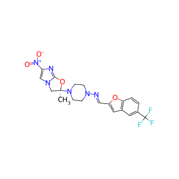 C[C@]1(N2CCN(/N=C/c3cc4cc(C(F)(F)F)ccc4o3)CC2)Cn2cc([N+](=O)[O-])nc2O1